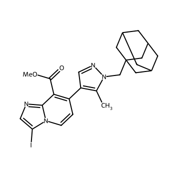 COC(=O)c1c(-c2cnn(CC34CC5CC(CC(C5)C3)C4)c2C)ccn2c(I)cnc12